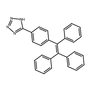 c1ccc(C(=C(c2ccccc2)c2ccc(-c3nnn[nH]3)cc2)c2ccccc2)cc1